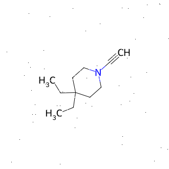 C#CN1CCC(CC)(CC)CC1